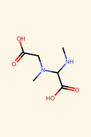 CNC(C(=O)O)N(C)CC(=O)O